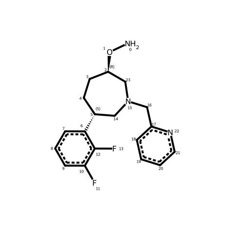 NO[C@@H]1CC[C@@H](c2cccc(F)c2F)CN(Cc2ccccn2)C1